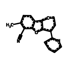 Cc1ccc2c(oc3c(-c4ccccn4)cccc32)c1C#N